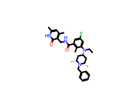 CCN(c1cc(F)cc(C(=O)NCc2c(C)cc(C)[nH]c2=O)c1C)[C@H]1C[C@@H](C)N(Cc2ccccc2)[C@@H](C)C1